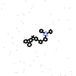 CC1(C)C2=CC3c4ccccc4C4(CCCCC4)C3C=C2c2cc(-c3cccc(-c4cccc(-c5nc(-c6ccccc6)nc(-c6ccccc6)n5)c4)c3)ccc21